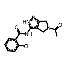 CC(=O)N1Cc2n[nH]c(NC(=O)c3ccccc3Cl)c2C1